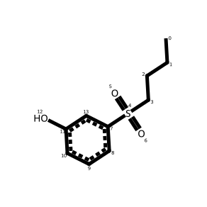 CCCCS(=O)(=O)c1cccc(O)c1